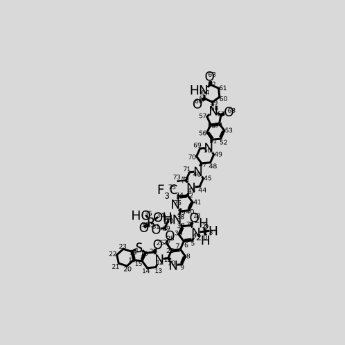 [2H]C([2H])([2H])n1cc(-c2ccnc(N3CCc4c(sc5c4CCCC5)C3=O)c2COC(C)OP(=O)(O)O)cc(Nc2ccc(N3CCN(C4CCN(c5ccc6c(c5)CN(C5CCC(=O)NC5=O)C6=O)CC4)C[C@@H]3C)c(C(F)(F)F)n2)c1=O